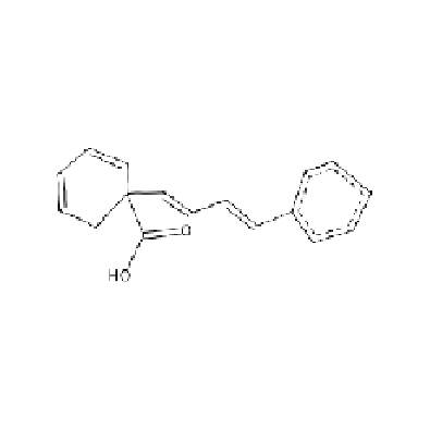 O=C(O)C1(C=CC=Cc2ccccc2)C=CC=CC1